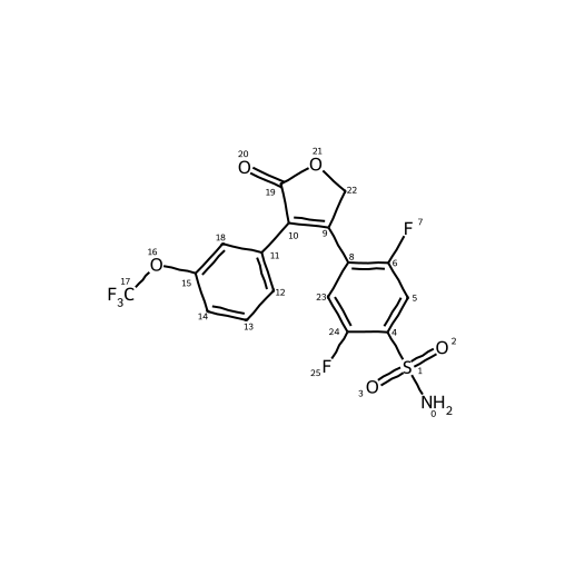 NS(=O)(=O)c1cc(F)c(C2=C(c3cccc(OC(F)(F)F)c3)C(=O)OC2)cc1F